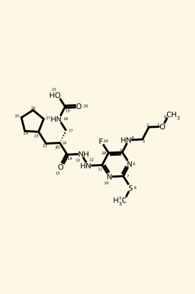 COCCNc1nc(SC)nc(NNC(=O)[C@@H](CNC(=O)O)CC2CCCC2)c1F